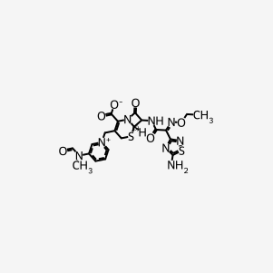 CCON=C(C(=O)NC1C(=O)N2C(C(=O)[O-])=C(C[n+]3cccc(N(C)C=O)c3)CS[C@@H]12)c1nsc(N)n1